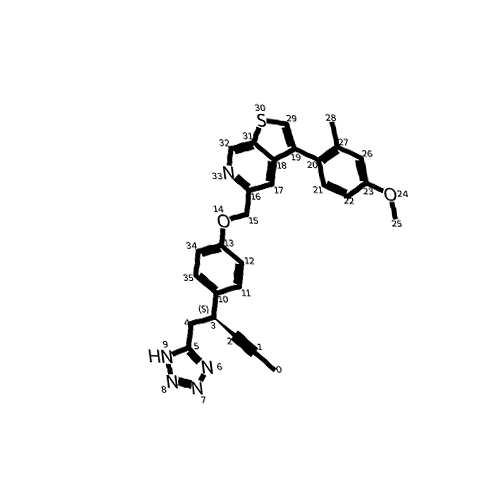 CC#C[C@@H](Cc1nnn[nH]1)c1ccc(OCc2cc3c(-c4ccc(OC)cc4C)csc3cn2)cc1